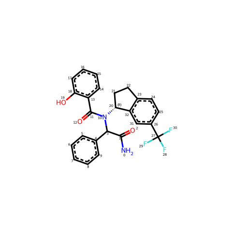 NC(=O)C(c1ccccc1)N(C(=O)c1ccccc1O)[C@@H]1CCc2ccc(C(F)(F)F)cc21